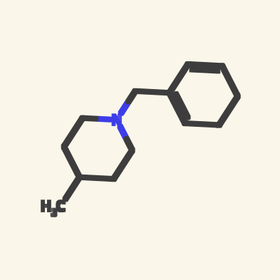 CC1CCN(CC2=CCCC=C2)CC1